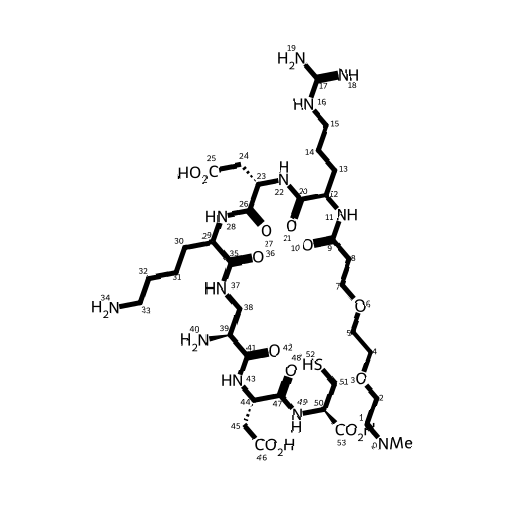 CNCCOCCOCCC(=O)NC(CCCNC(=N)N)C(=O)N[C@@H](CC(=O)O)C(=O)NC(CCCCN)C(=O)NC[C@H](N)C(=O)N[C@@H](CC(=O)O)C(=O)N[C@@H](CS)C(=O)O